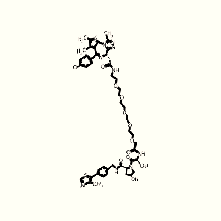 Cc1ncsc1-c1ccc(CNC(=O)[C@@H]2C[C@@H](O)CN2C(=O)[C@@H](NC(=O)COCCOCCOCCOCCOCCNC(=O)C[C@@H]2N=C(c3ccc(Cl)cc3)c3c(sc(C)c3C)-n3c(C)nnc32)C(C)(C)C)cc1